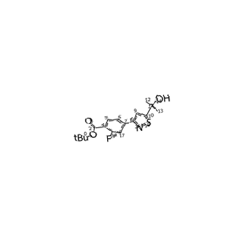 CC(C)(C)OC(=O)c1ccc(-c2cc(C(C)(C)O)sn2)cc1F